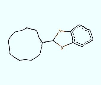 c1ccc2c(c1)SC([C]1CCCCCCCC1)S2